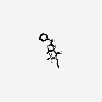 CCCN(C(=O)c1nc(Nc2ccccc2)sc1C)S(C)(=O)=O